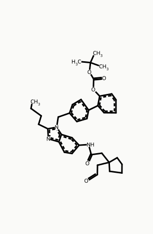 CCCCc1nc2ccc(NC(=O)CC3(CC=O)CCCC3)cc2n1Cc1ccc(-c2ccccc2OC(=O)OC(C)(C)C)cc1